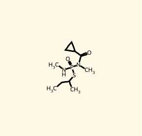 CCC(C)SP(=O)(NC)N(C)C(=O)C1CC1